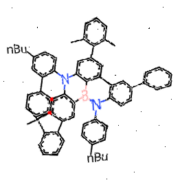 CCCCc1ccc(N2B3c4cc5c(cc4N(c4ccc(CCCC)cc4-c4ccccc4)c4cc(-c6c(C)cccc6C)cc(c43)-c3cc(-c4ccccc4)ccc32)C(C)(C)c2ccccc2-5)cc1